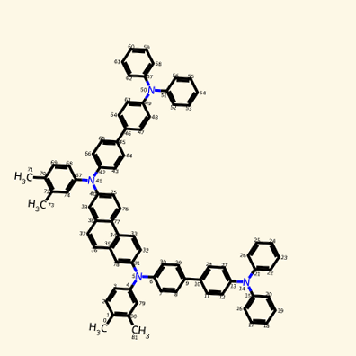 Cc1ccc(N(c2ccc(-c3ccc(N(c4ccccc4)c4ccccc4)cc3)cc2)c2ccc3c(ccc4cc(N(c5ccc(-c6ccc(N(c7ccccc7)c7ccccc7)cc6)cc5)c5ccc(C)c(C)c5)ccc43)c2)cc1C